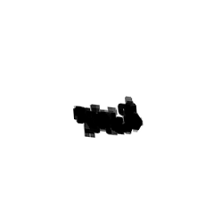 COC(=O)c1cccc(CN2CCC(N(C)c3cc(F)c(S(=O)(=O)Nc4cscn4)cc3Cl)C2)c1